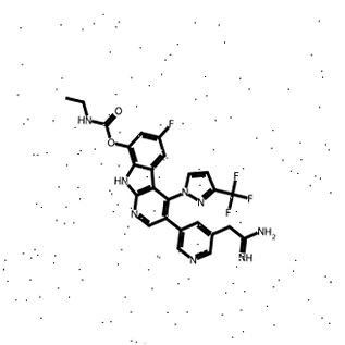 CCNC(=O)Oc1cc(F)cc2c1[nH]c1ncc(-c3cncc(CC(=N)N)c3)c(-n3ccc(C(F)(F)F)n3)c12